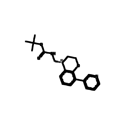 CC(C)(C)OC(=O)NC[C@@H]1CCOc2c(-c3cccnc3)cccc21